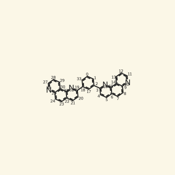 c1cc(-c2ccc3ccc4ncccc4c3n2)cc(-c2ccc3ccc4ncccc4c3n2)c1